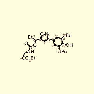 CCOC(=O)CNC(=O)OC(CC)c1cc(-c2cc(C(C)(C)C)c(O)c(C(C)(C)C)c2)no1